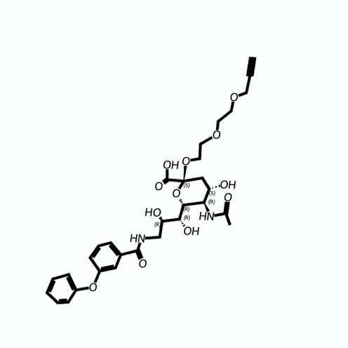 C#CCOCCOCCO[C@@]1(C(=O)O)C[C@H](O)[C@@H](NC(C)=O)[C@H]([C@H](O)[C@H](O)CNC(=O)c2cccc(Oc3ccccc3)c2)O1